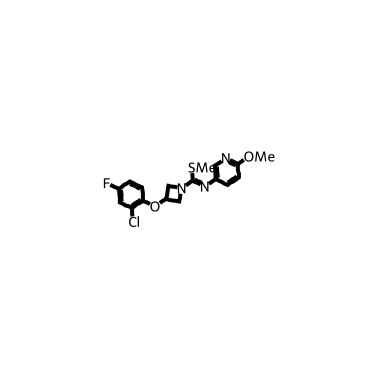 COc1ccc(/N=C(\SC)N2CC(Oc3ccc(F)cc3Cl)C2)cn1